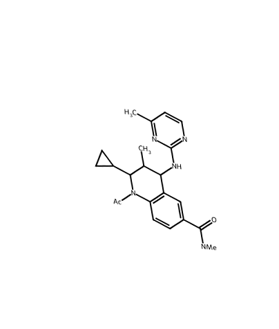 CNC(=O)c1ccc2c(c1)C(Nc1nccc(C)n1)C(C)C(C1CC1)N2C(C)=O